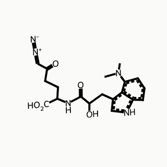 CN(C)c1cccc2[nH]cc(CC(O)C(=O)NC(CCC(=O)C=[N+]=[N-])C(=O)O)c12